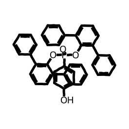 O=P(Oc1c(-c2ccccc2)cccc1-c1ccccc1)(Oc1c(-c2ccccc2)cccc1-c1ccccc1)c1ccc(O)cc1